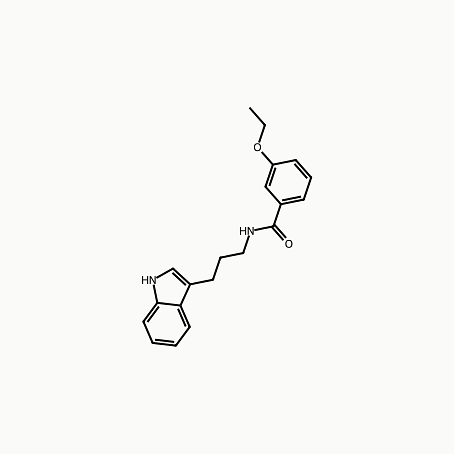 CCOc1cccc(C(=O)NCCCc2c[nH]c3ccccc23)c1